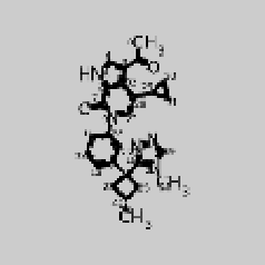 CC(=O)c1c[nH]c2c(=O)n(-c3cccc([C@]4(c5nncn5C)C[C@@H](C)C4)c3)cc(C3CC3)c12